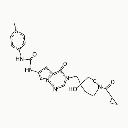 Cc1ccc(NC(=O)Nc2cc3c(=O)n(CC4(O)CCN(C(=O)C5CC5)CC4)cnn3c2)cc1